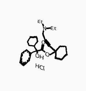 CCN(CC)CC#CC1(OC(=O)C(O)(c2ccccc2)C2CCCCC2)CCCCC1.Cl